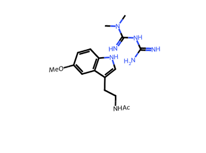 CN(C)C(=N)NC(=N)N.COc1ccc2[nH]cc(CCNC(C)=O)c2c1